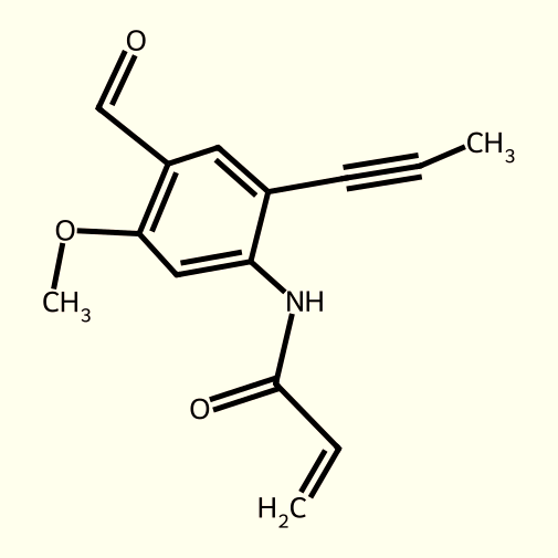 C=CC(=O)Nc1cc(OC)c(C=O)cc1C#CC